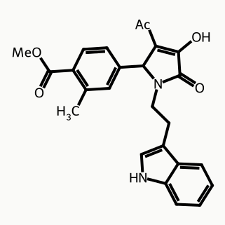 COC(=O)c1ccc(C2C(C(C)=O)=C(O)C(=O)N2CCc2c[nH]c3ccccc23)cc1C